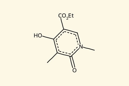 CCOC(=O)c1cn(C)c(=O)c(C)c1O